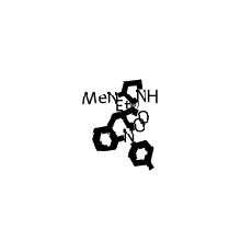 CCC1(C(=O)[C@H]2NCCC2NC)Cc2ccccc2N(c2ccc(C)cc2)C1=O